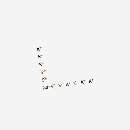 [K+].[K+].[K+].[K+].[K+].[K+].[K+].[Na+].[S-2].[S-2].[S-2].[S-2]